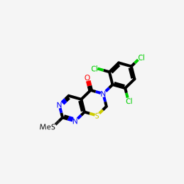 CSc1ncc2c(n1)SCN(c1c(Cl)cc(Cl)cc1Cl)C2=O